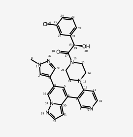 Cn1cc(-c2cc(-c3cnccc3N3CCN(C(=O)[C@H](O)c4cccc(Cl)c4)CC3)c3ccnn3c2)cn1